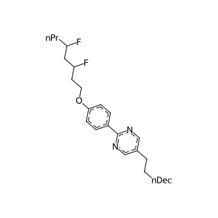 CCCCCCCCCCCCc1cnc(-c2ccc(OCCC(F)CC(F)CCC)cc2)nc1